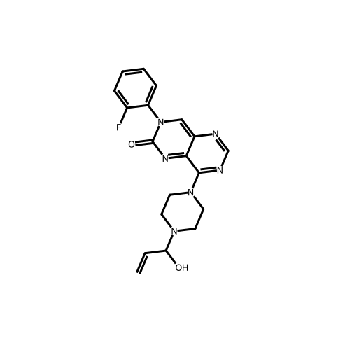 C=CC(O)N1CCN(c2ncnc3cn(-c4ccccc4F)c(=O)nc23)CC1